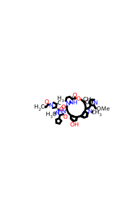 C=CC(=O)N1C[C@H](C)[C@H](C(=O)N(C)[C@H](C(=O)N[C@H]2Cc3cc(O)cc(c3)-c3ccc4c(c3)c(c(-c3cccnc3COC)n4C)CC(C)(C)COC(=O)[C@@H]3CCCN(N3)C2=O)C2CCCC2)C1